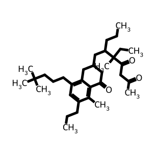 CCCc1cc(CCCC(C)(C)C)c2c(c1C)C(=O)CC(CC(CCC)C(C)(CC)C(=O)CC(C)=O)C2